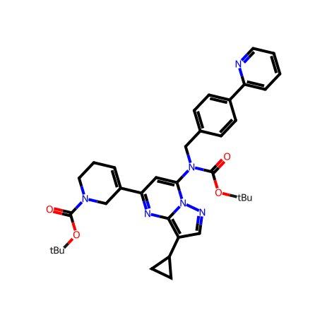 CC(C)(C)OC(=O)N1CCC=C(c2cc(N(Cc3ccc(-c4ccccn4)cc3)C(=O)OC(C)(C)C)n3ncc(C4CC4)c3n2)C1